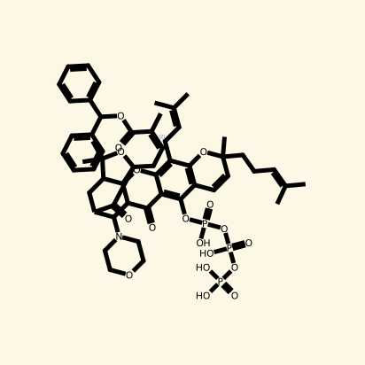 CC(C)=CCCC1(C)C=Cc2c(c(CC=C(C)C)c3c(c2OP(=O)(O)OP(=O)(O)OP(=O)(O)O)C(=O)C2C(N4CCOCC4)C4CC5C(C)(C)OC(C/C=C(/C)C(=O)OC(c6ccccc6)c6ccccc6)(C4=O)C25O3)O1